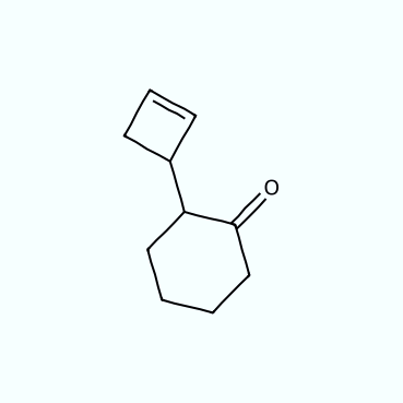 O=C1CCCCC1C1C=CC1